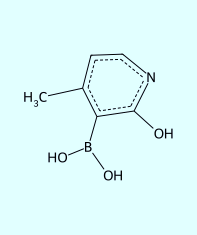 Cc1ccnc(O)c1B(O)O